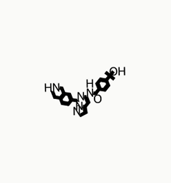 CC(C)(O)c1ccc(C(=O)Nc2cc3ccnn3c(-c3ccc4c(c3)CNCC4)n2)cc1